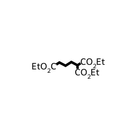 CCOC(=O)CCCC(C(=O)OCC)C(=O)OCC